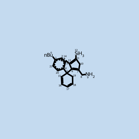 CCCCc1ccc(C2(C3=C(CN)CC([SiH3])=C3CC)C=CC=CC2)cc1